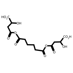 O=C(CCCCC(=O)OC(=O)CC(O)C(=O)O)OC(=O)CC(O)C(=O)O